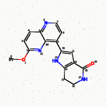 CC(C)Oc1ccc2nccc(-c3cc4c([nH]3)CCNC4=O)c2n1